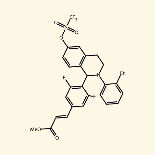 CCc1ccccc1N1CCc2cc(OS(=O)(=O)C(F)(F)F)ccc2C1c1c(F)cc(/C=C/C(=O)OC)cc1F